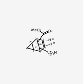 COC(=O)[C@@H]1C2C=CC(C3CC32)[C@@H]1C(=O)O